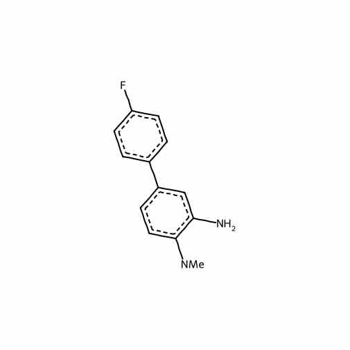 CNc1ccc(-c2ccc(F)cc2)cc1N